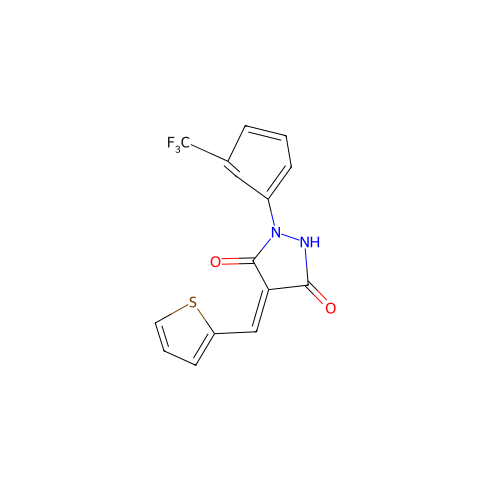 O=C1NN(c2cccc(C(F)(F)F)c2)C(=O)C1=Cc1cccs1